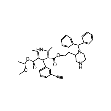 C#Cc1cccc(C2C(C(=O)OCCC3CNCCN3C(c3ccccc3)c3ccccc3)=C(C)NC(C)=C2C(=O)OC(C)OC)c1